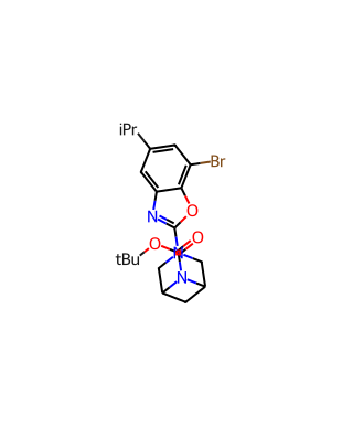 CC(C)c1cc(Br)c2oc(N3CC4CC(C3)N4C(=O)OC(C)(C)C)nc2c1